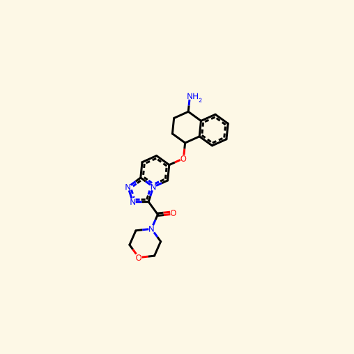 NC1CCC(Oc2ccc3nnc(C(=O)N4CCOCC4)n3c2)c2ccccc21